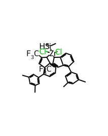 Cc1cc(C)cc(-c2cccc3c2C=C(C(F)(F)F)[CH]3[Zr]([Cl])([Cl])([CH]2C(C(F)(F)F)=Cc3c(-c4cc(C)cc(C)c4)cccc32)[SiH](C)C)c1